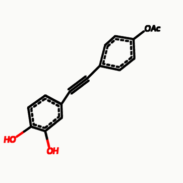 CC(=O)Oc1ccc(C#Cc2ccc(O)c(O)c2)cc1